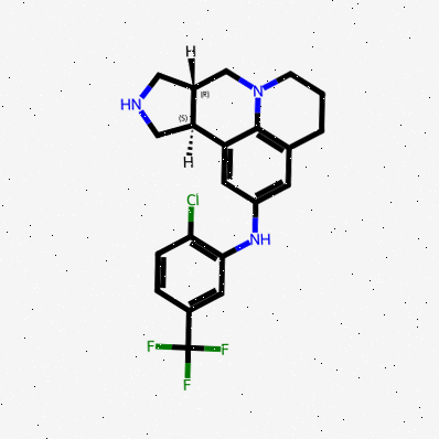 FC(F)(F)c1ccc(Cl)c(Nc2cc3c4c(c2)[C@H]2CNC[C@@H]2CN4CCC3)c1